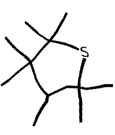 CC1C(C)(C)SC(C)(C)C1(C)C